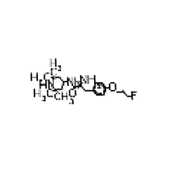 CC1(C)CC(NC(=O)[C@@H](N)Cc2ccc(OCCCF)cc2)CC(C)(C)N1